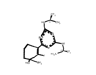 BC1(O)CCCC(c2nc(N[C@H](C)C(F)(F)F)nc(N[C@H](C)C(F)(F)F)n2)=C1F